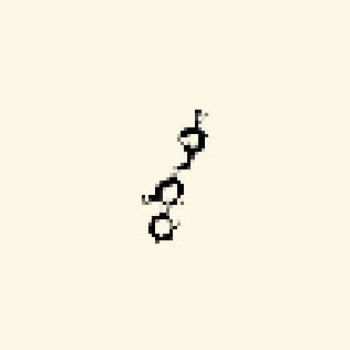 O=c1cc(OCc2ccc(Br)cn2)cnn1C1CCCCO1